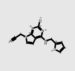 N#CCn1ccc2c(NCc3ccco3)nc(Cl)nc21